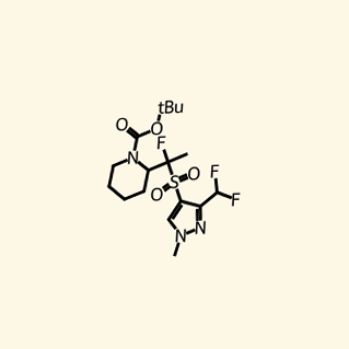 Cn1cc(S(=O)(=O)C(C)(F)C2CCCCN2C(=O)OC(C)(C)C)c(C(F)F)n1